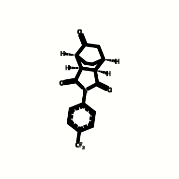 O=C1C[C@@H]2CC[C@H]1[C@@H]1C(=O)N(c3ccc(C(F)(F)F)cc3)C(=O)[C@H]21